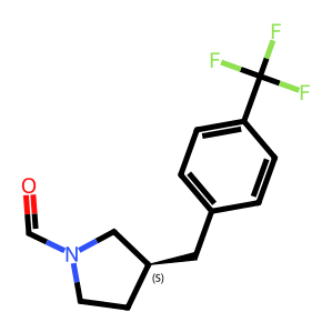 O=CN1CC[C@H](Cc2ccc(C(F)(F)F)cc2)C1